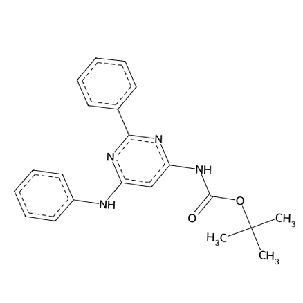 CC(C)(C)OC(=O)Nc1cc(Nc2ccccc2)nc(-c2ccccc2)n1